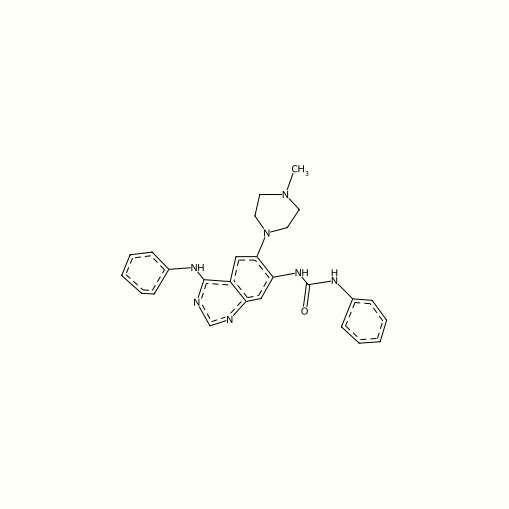 CN1CCN(c2cc3c(Nc4ccccc4)ncnc3cc2NC(=O)Nc2ccccc2)CC1